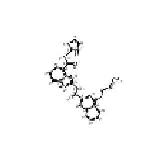 CSCCc1nc(C(=O)Nc2nc3c(C(=O)Nc4ncc[nH]4)cccc3[nH]2)cc2ccccc12